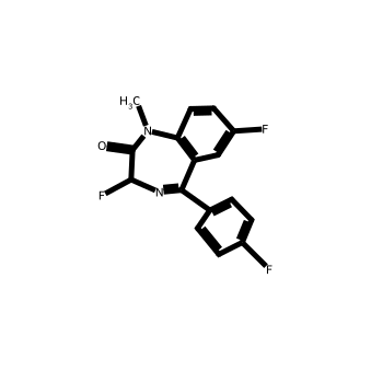 CN1C(=O)C(F)N=C(c2ccc(F)cc2)c2cc(F)ccc21